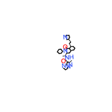 Cc1nn2cccnc2c1C(=O)N[C@@H](C)c1cc2cccc(/C=C/c3cccnc3)c2c(=O)n1-c1ccccc1